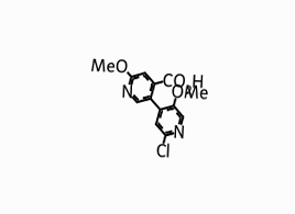 COc1cc(C(=O)O)c(-c2cc(Cl)ncc2OC)cn1